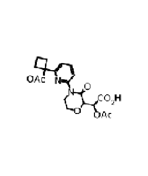 CC(=O)OC(C(=O)O)[C@H]1OCCN(c2cccc(C3(OC(C)=O)CCC3)n2)C1=O